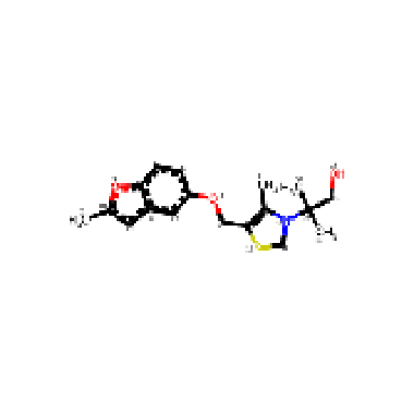 CC1=C(COc2ccc3oc(C)cc3c2)SCN1C(C)(C)CO